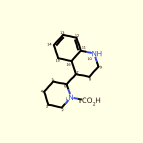 O=C(O)N1CCCCC1C1CCNC2=CC=CCC21